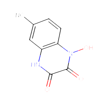 N#Cc1ccc2c(c1)[nH]c(=O)c(=O)n2O